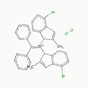 CC1=Cc2c(Br)cccc2[CH]1[Zr+2](=[C](c1ccccc1)c1ccccc1)[CH]1C(C)=Cc2c(Br)cccc21.[Cl-].[Cl-]